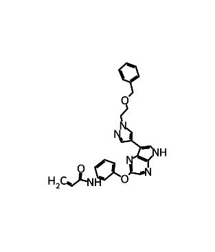 C=CC(=O)Nc1cccc(Oc2cnc3[nH]cc(-c4cnn(CCOCc5ccccc5)c4)c3n2)c1